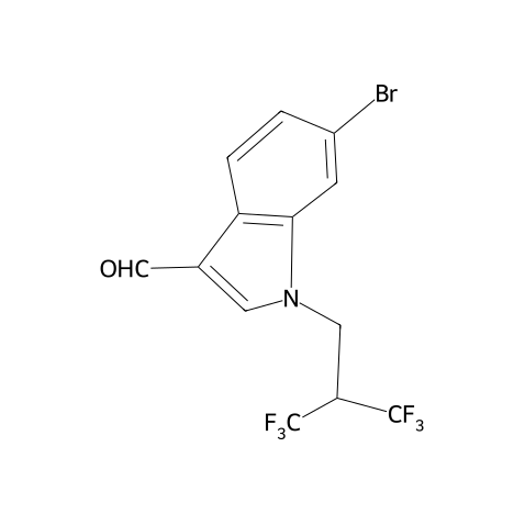 O=Cc1cn(CC(C(F)(F)F)C(F)(F)F)c2cc(Br)ccc12